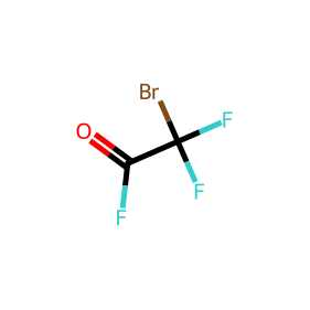 O=C(F)C(F)(F)Br